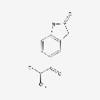 CC(Cl)C(=O)c1ccc2c(c1)CC(=O)N2